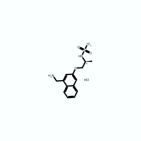 C[C@@H](COc1cc(CN)c2ccccc2c1)NS(=O)(=O)C(F)(F)F.Cl